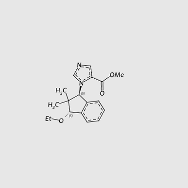 CCO[C@H]1c2ccccc2[C@H](n2cncc2C(=O)OC)C1(C)C